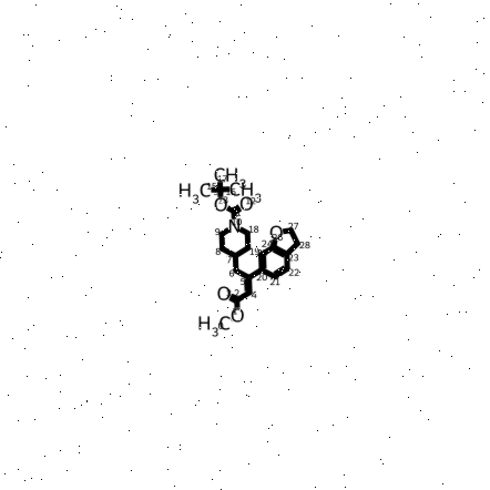 COC(=O)C=C(CC1CCN(C(=O)OC(C)(C)C)CC1)c1ccc2c(c1)OCC2